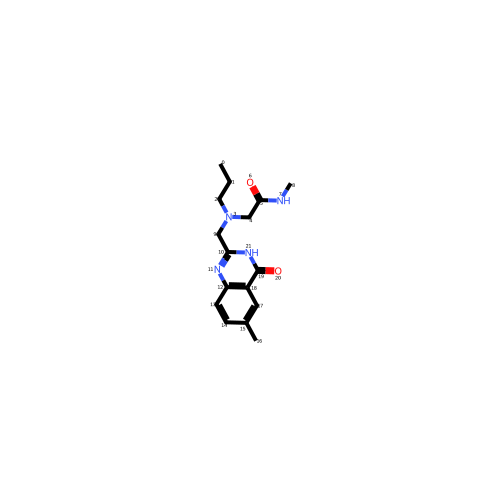 CCCN(CC(=O)NC)Cc1nc2ccc(C)cc2c(=O)[nH]1